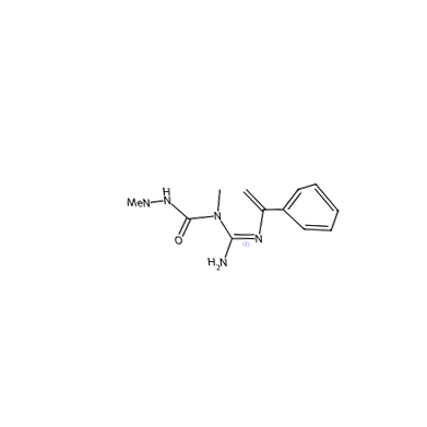 C=C(/N=C(/N)N(C)C(=O)NNC)c1ccccc1